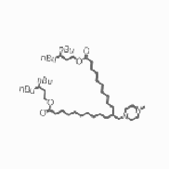 CCCCC(CCCC)CCOC(=O)CCCCCCCCCC(CCCCCCCCCC(=O)OCCC(CCCC)CCCC)CN1CCN(C)CC1